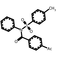 CC(=O)c1ccc(C(=O)N(c2ccccc2)S(=O)(=O)c2ccc(C)cc2)cc1